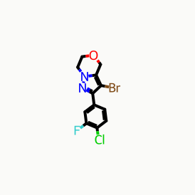 Fc1cc(-c2nn3c(c2Br)COCC3)ccc1Cl